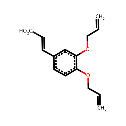 C=CCOc1ccc(/C=C/C(=O)O)cc1OCC=C